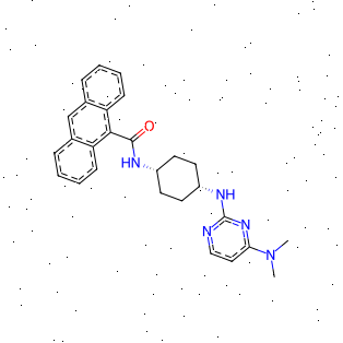 CN(C)c1ccnc(N[C@H]2CC[C@@H](NC(=O)c3c4ccccc4cc4ccccc34)CC2)n1